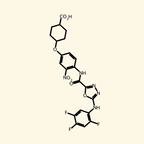 O=C(Nc1ccc(OC2CCC(C(=O)O)CC2)cc1[N+](=O)[O-])c1nnc(Nc2cc(F)c(F)cc2F)o1